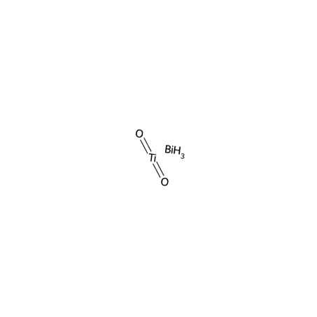 [BiH3].[O]=[Ti]=[O]